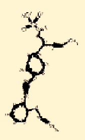 CC#CC(CNS(=O)(=O)O)c1ccc(C#Cc2ccccc2CC#N)cc1